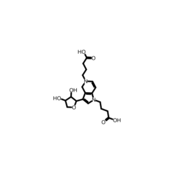 O=C(O)CCCN1C=Cc2c(c(C3OCC(O)C3O)cn2CCCC(=O)O)C1